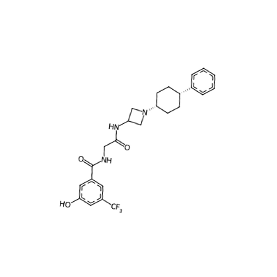 O=C(CNC(=O)c1cc(O)cc(C(F)(F)F)c1)NC1CN([C@H]2CC[C@@H](c3ccccc3)CC2)C1